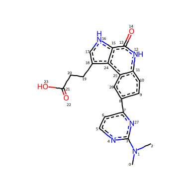 CN(C)c1nccc(-c2ccc3[nH]c(=O)c4[nH]cc(CCC(=O)O)c4c3c2)n1